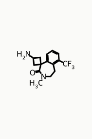 CN1CCc2c(C(F)(F)F)cccc2C2(CC(N)C2)C1=O